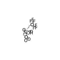 COc1cc2c(cc1OC)CN(C(=O)[C@H](CCCc1cc(C(F)(F)F)cc(C(F)(F)F)c1)[C@H](O)C=O)CC2